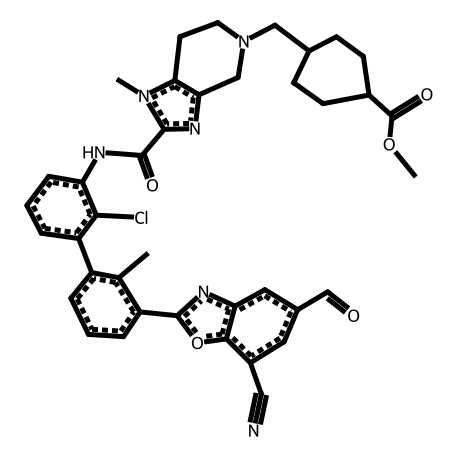 COC(=O)C1CCC(CN2CCc3c(nc(C(=O)Nc4cccc(-c5cccc(-c6nc7cc(C=O)cc(C#N)c7o6)c5C)c4Cl)n3C)C2)CC1